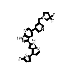 Fc1ccc(-c2ccnc3[nH]c(-c4n[nH]c5ncc(-c6cncc(CN7CCC(F)(F)C7)c6)cc45)cc23)s1